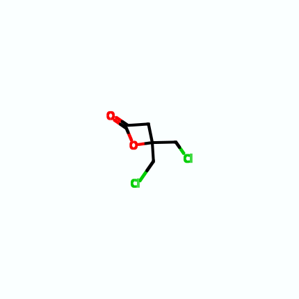 O=C1CC(CCl)(CCl)O1